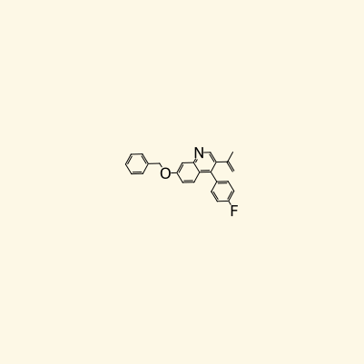 C=C(C)c1cnc2cc(OCc3ccccc3)ccc2c1-c1ccc(F)cc1